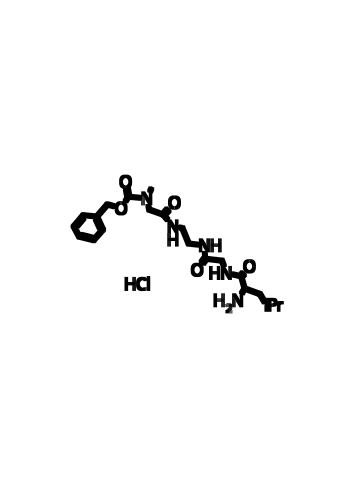 CC(C)CC(N)C(=O)NCC(=O)NCCNC(=O)CN(C)C(=O)OCc1ccccc1.Cl